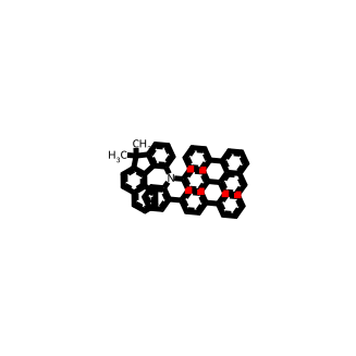 CC1(C)c2cccc(N(c3ccc(-c4cccc5cccc(-c6ccccc6)c45)cc3)c3ccccc3-c3ccc(-c4ccccc4)cc3)c2-c2c1ccc1ccccc21